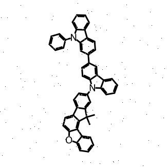 CC1(C)c2cc(-n3c4ccccc4c4cc(-c5ccc6c7ccccc7n(-c7ccccc7)c6c5)ccc43)ccc2-c2ccc3oc4ccccc4c3c21